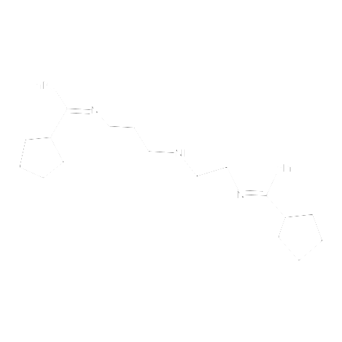 CCCCC(=NCCCNCCN=C(CCC)C1CCCC1)C1CCCC1